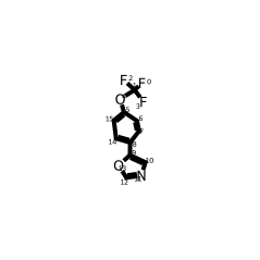 FC(F)(F)Oc1ccc(-c2cnco2)cc1